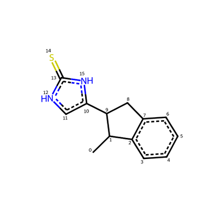 CC1c2ccccc2CC1c1c[nH]c(=S)[nH]1